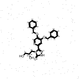 O=c1[nH]nc(-c2cc(OCc3ccccc3)c(OCc3ccccc3)cn2)n1C[C@H](O)CO